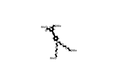 COCCOCCOCCN(CCOCCOCCOC)c1ccc(C#Cc2cc(COC)nc(C(=O)OC)c2)cc1